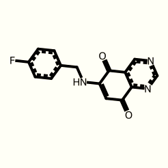 O=C1C(NCc2ccc(F)cc2)=CC(=O)c2ncncc21